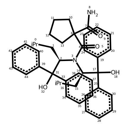 CC(C)C[C@@H](N(C(=O)C1(C(N)=O)CCCC1)[C@H](CC(C)C)C(O)(c1ccccc1)c1ccccc1)C(O)(c1ccccc1)c1ccccc1